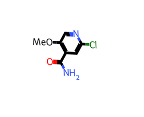 COc1cnc(Cl)cc1C(N)=O